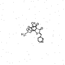 CC(C)Cn1c2c(c(=O)n(C)c1=O)C(=O)C(=Cc1cccnc1)S2